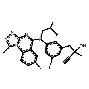 C#CC(C)(O)Cc1cc(F)cc(N(CC(F)F)c2nc3nnc(C)n3c3ccc(F)cc23)c1